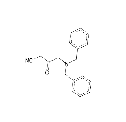 N#CCC(=O)CN(Cc1ccccc1)Cc1ccccc1